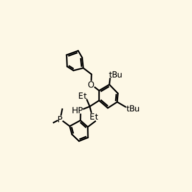 CCC(CC)(Pc1c(C)cccc1P(C)C)c1cc(C(C)(C)C)cc(C(C)(C)C)c1OCc1ccccc1